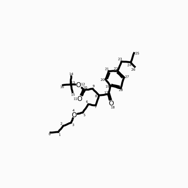 CCCCOCCCC(CC(=O)OC(C)(C)C)C(=O)c1ccc(CC(C)C)cc1